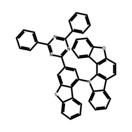 c1ccc(-c2nc(-c3ccccc3)nc(-c3cc(-n4c5ccccc5c5ccc6oc7ccccc7c6c54)c4c(c3)sc3ccccc34)n2)cc1